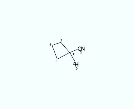 [2H]C1(C#N)CCC1